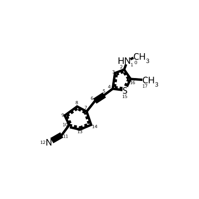 CNc1cc(C#Cc2ccc(C#N)cc2)sc1C